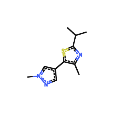 Cc1nc(C(C)C)sc1-c1cnn(C)c1